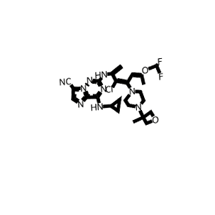 C=C(Nc1nc(NC2CC2)c2ncc(C#N)n2n1)/C(Cl)=C(\C=C(/C)OC(F)F)N1CCN(C2(C)COC2)CC1